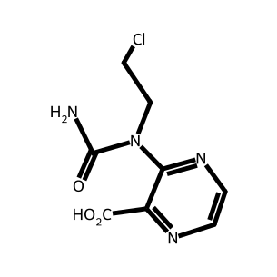 NC(=O)N(CCCl)c1nccnc1C(=O)O